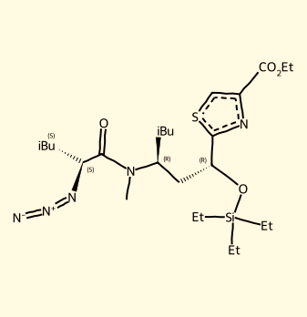 CCOC(=O)c1csc([C@@H](C[C@H](C(C)CC)N(C)C(=O)[C@@H](N=[N+]=[N-])[C@@H](C)CC)O[Si](CC)(CC)CC)n1